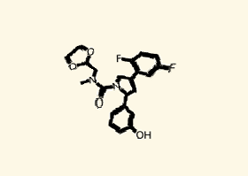 CN(CC1OCCO1)C(=O)N1CC(c2cc(F)ccc2F)=CC1c1cccc(O)c1